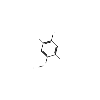 CCCCOc1cc(O)c(O)cc1C=O